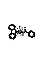 [CH2]=[Ti]([CH3])([CH3])([Cl])([Cl])([NH]C(=O)c1ccccc1)[CH]1c2ccccc2-c2ccccc21